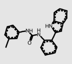 Cc1cccc(NC(=O)Nc2ccccc2-c2cc3ccccc3[nH]2)c1